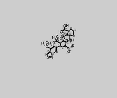 COc1cc(-c2cc([N+](=O)[O-])c(NC3CCCN(C(=O)O)C3C(C)(C)C)cc2C(C)C)cn2ncnc12